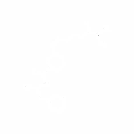 CC(Cc1ccccc1)NC(=O)c1cccc(/C=C\CCCC(=O)N(C)C)c1